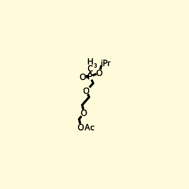 CC(=O)OCOCCOCP(C)(=O)OC(C)C